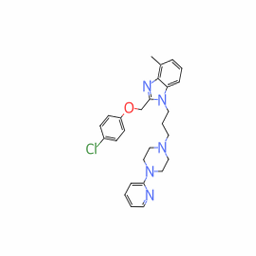 Cc1cccc2c1nc(COc1ccc(Cl)cc1)n2CCCN1CCN(c2ccccn2)CC1